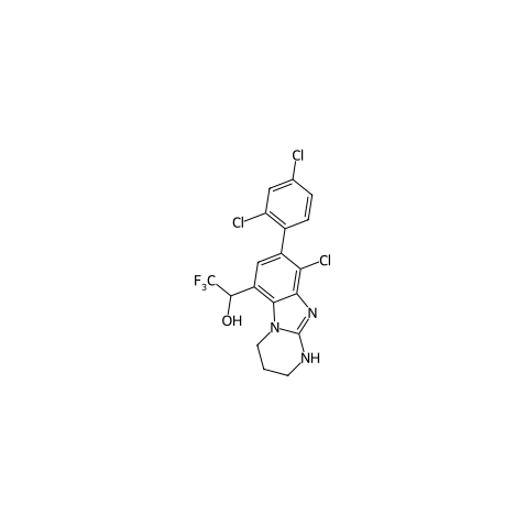 OC(c1cc(-c2ccc(Cl)cc2Cl)c(Cl)c2nc3n(c12)CCCN3)C(F)(F)F